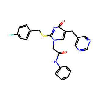 O=C(Cn1cc(Cc2cncnc2)c(=O)nc1SCc1ccc(F)cc1)Nc1ccccc1